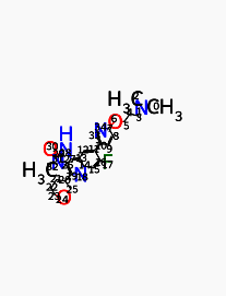 CN(C)CCCOc1ccc(-c2cc3c(cc2F)nc(C2CCCOC2)c2c3[nH]c(=O)n2C)cn1